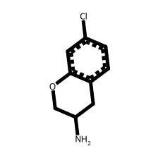 NC1COc2cc(Cl)ccc2C1